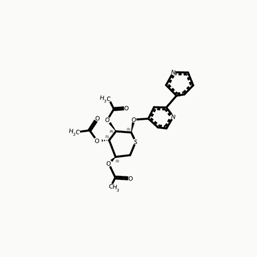 CC(=O)O[C@@H]1[C@@H](OC(C)=O)[C@@H](Oc2ccnc(-c3cccnc3)c2)SC[C@H]1OC(C)=O